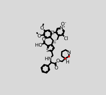 COc1ccc([C@H](Cc2c(Cl)c[n+]([O-])cc2Cl)c2cc(CNC(C(=O)OC[C@@H]3CN4CCC3CC4)c3ccccc3)sc2C(=O)O)cc1OC